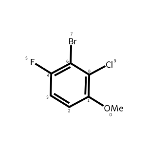 COc1ccc(F)c(Br)c1Cl